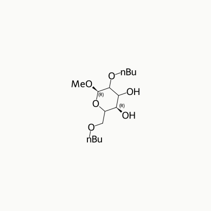 CCCCOCC1O[C@@H](OC)C(OCCCC)C(O)[C@H]1O